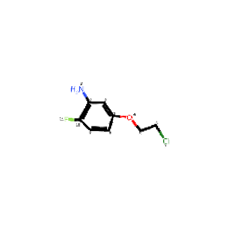 Nc1cc(OCCCl)ccc1F